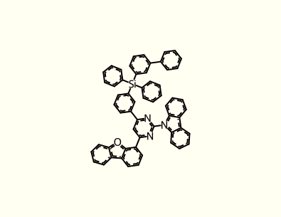 c1ccc(-c2cccc([Si](c3ccccc3)(c3ccccc3)c3cccc(-c4cc(-c5cccc6c5oc5ccccc56)nc(-n5c6ccccc6c6ccccc65)n4)c3)c2)cc1